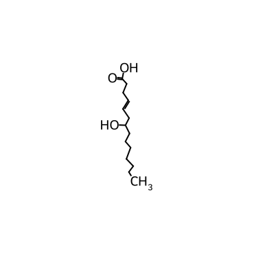 CCCCCCCC(O)CC=CCCC(=O)O